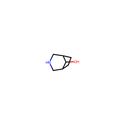 OC1[C]2CCC1CNC2